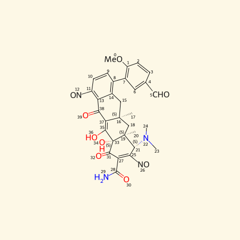 COc1ccc(C=O)cc1-c1ccc(N=O)c2c1C[C@@]1(C)C[C@@]3(C)[C@H](N(C)C)C(N=O)=C(C(N)=O)C(=O)[C@@]3(O)C(O)=C1C2=O